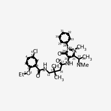 CCOc1ccc(Cl)cc1C(=O)NCC(C)(C)CC(=O)Nc1c(C(C)NC)n(C)n(-c2ccccc2)c1=O